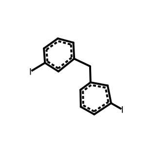 Ic1cccc(Cc2cccc(I)c2)c1